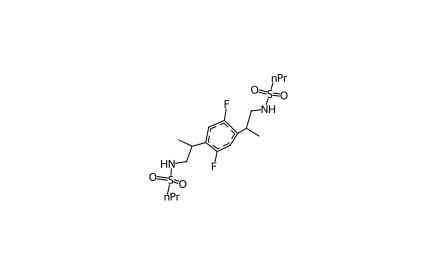 CCCS(=O)(=O)NCC(C)c1cc(F)c(C(C)CNS(=O)(=O)CCC)cc1F